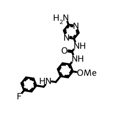 COc1cc(CNCc2cccc(F)c2)ccc1NC(=O)Nc1cnc(N)cn1